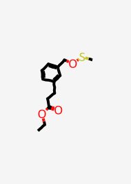 CCOC(=O)CCc1cccc(COSC)c1